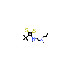 CCCN(C)CCN(C)c1c(C(C)(C)C)c(=S)c1=S